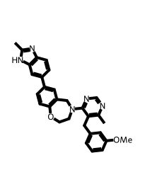 COc1cccc(Cc2c(C)ncnc2N2CCOc3ccc(-c4ccc5nc(C)[nH]c5c4)cc3C2)c1